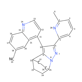 Cc1cccc(-c2nn3c(c2-c2ccnc4ccc(C#N)cc24)C2CCC3CC2)n1